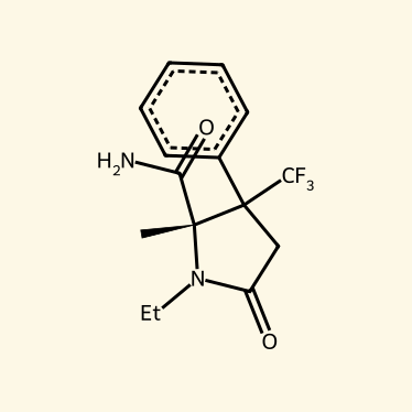 CCN1C(=O)CC(c2ccccc2)(C(F)(F)F)[C@@]1(C)C(N)=O